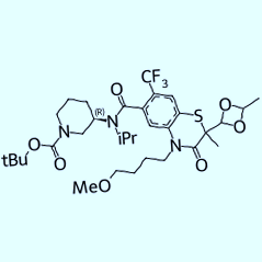 COCCCCN1C(=O)C(C)(C2OC(C)O2)Sc2cc(C(F)(F)F)c(C(=O)N(C(C)C)[C@@H]3CCCN(C(=O)OC(C)(C)C)C3)cc21